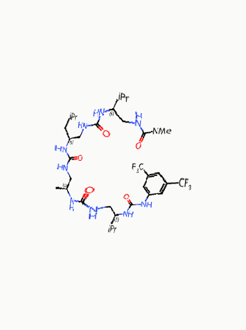 CNC(=O)NC[C@@H](NC(=O)NC[C@H](CC(C)C)NC(=O)NC[C@H](C)NC(=O)NC[C@@H](NC(=O)Nc1cc(C(F)(F)F)cc(C(F)(F)F)c1)C(C)C)C(C)C